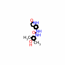 Cc1cc(NC(=O)Nc2ccc3c(c2)CCC(=O)N3)cc(C)c1O